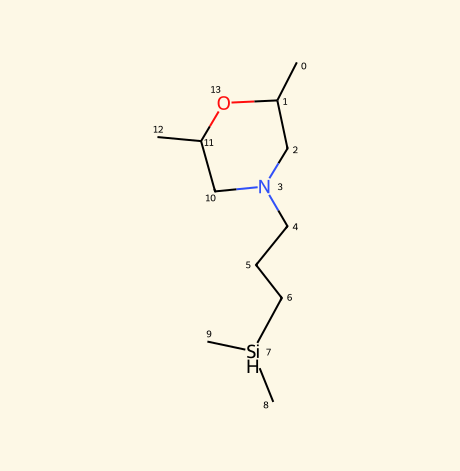 CC1CN(CCC[SiH](C)C)CC(C)O1